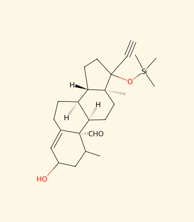 C#CC1(O[Si](C)(C)C)CC[C@H]2[C@@H]3CCC4=CC(O)CC(C)[C@]4(C=O)[C@@H]3CC[C@@]21C